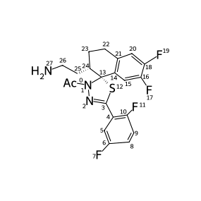 CC(=O)N1N=C(c2cc(F)ccc2F)S[C@]12c1cc(F)c(F)cc1CC[C@H]2CCN